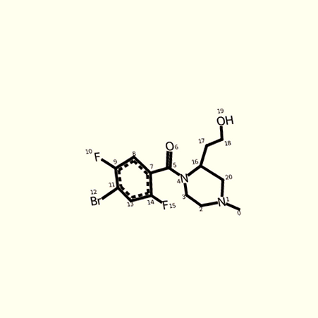 CN1CCN(C(=O)c2cc(F)c(Br)cc2F)C(CCO)C1